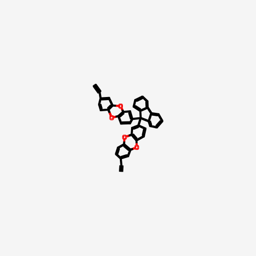 C#Cc1ccc2c(c1)Oc1ccc(C3(c4ccc5c(c4)Oc4cc(C#C)ccc4O5)c4ccccc4-c4ccccc43)cc1O2